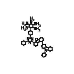 Bc1c(B)c(B)c(-c2ccc(-c3nc(-c4ccccc4)nc(-c4cccc5c4oc4cccc(-c6ccc7c(c6)c6ccccc6n7-c6ccccc6)c45)n3)cc2)c(B)c1B